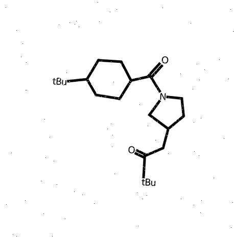 CC(C)(C)C(=O)CC1CCN(C(=O)C2CCC(C(C)(C)C)CC2)C1